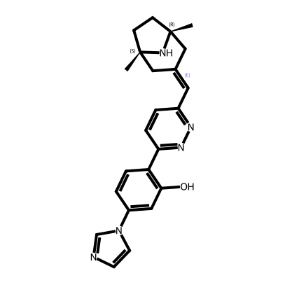 C[C@]12CC[C@](C)(C/C(=C/c3ccc(-c4ccc(-n5ccnc5)cc4O)nn3)C1)N2